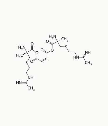 CC(=N)NCCSC[C@](C)(N)C(=O)OC(=O)/C=C\C(=O)OC(=O)[C@@](C)(N)CSCCNC(C)=N